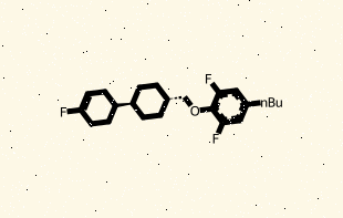 CCCCc1cc(F)c(OC[C@H]2CC[C@H](C3CC=C(F)CC3)CC2)c(F)c1